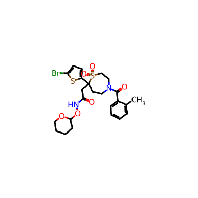 Cc1ccccc1C(=O)N1CCC(CC(=O)NOC2CCCCO2)(c2ccc(Br)s2)S(=O)(=O)CC1